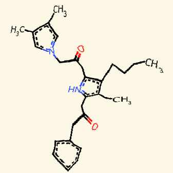 CCCCc1c(C(=O)Cn2cc(C)c(C)c2)[nH]c(C(=O)Cc2ccccc2)c1C